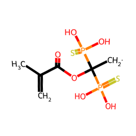 [CH2]C(OC(=O)C(=C)C)(P(O)(O)=S)P(O)(O)=S